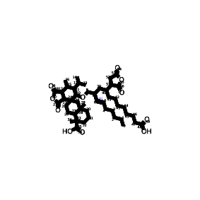 CCCCC/C=C/C(COC1C(C(C)C)C(C)C2C(=O)OC(=O)C2C12CCC1C(C)(CCCC1(C)C(=O)O)C2)CC(CCCCCCCC(=O)O)C1CC(=O)OC1=O